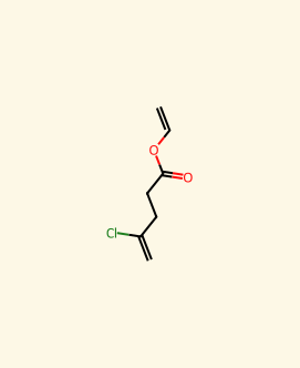 C=COC(=O)CCC(=C)Cl